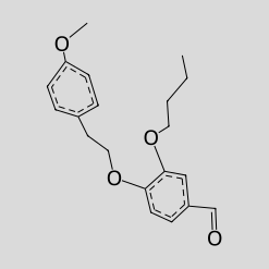 CCCCOc1cc(C=O)ccc1OCCc1ccc(OC)cc1